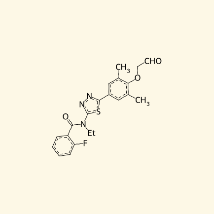 CCN(C(=O)c1ccccc1F)c1nnc(-c2cc(C)c(OCC=O)c(C)c2)s1